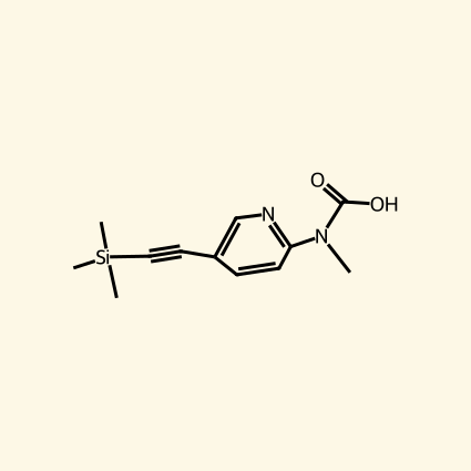 CN(C(=O)O)c1ccc(C#C[Si](C)(C)C)cn1